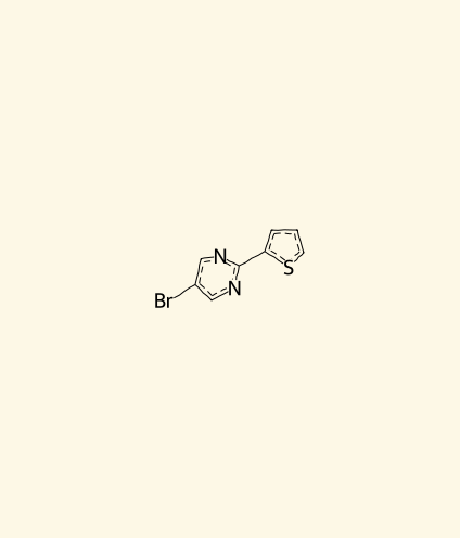 Brc1cnc(-c2cccs2)nc1